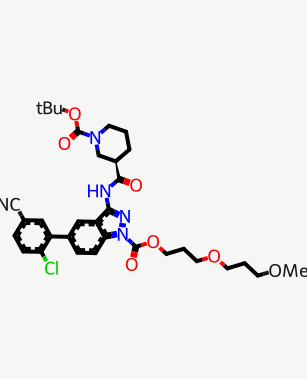 COCCCOCCCOC(=O)n1nc(NC(=O)[C@@H]2CCCN(C(=O)OC(C)(C)C)C2)c2cc(-c3cc(C#N)ccc3Cl)ccc21